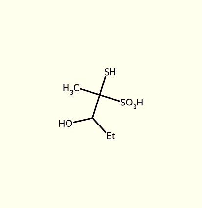 CCC(O)C(C)(S)S(=O)(=O)O